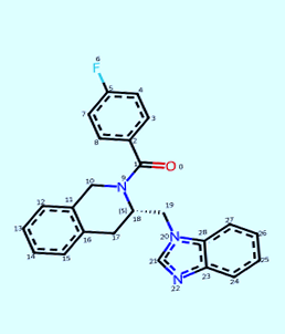 O=C(c1ccc(F)cc1)N1Cc2ccccc2C[C@H]1Cn1cnc2ccccc21